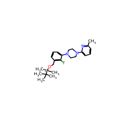 Cc1cccc(N2CCN(c3cccc(CO[Si](C)(C)C(C)(C)C)c3F)CC2)n1